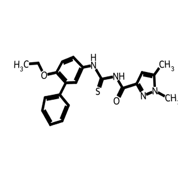 CCOc1ccc(NC(=S)NC(=O)c2cc(C)n(C)n2)cc1-c1ccccc1